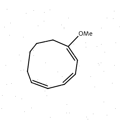 COC1=CC=CC=CCCCC1